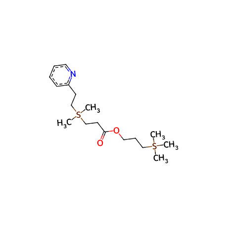 CS(C)(C)CCCOC(=O)CCS(C)(C)CCc1ccccn1